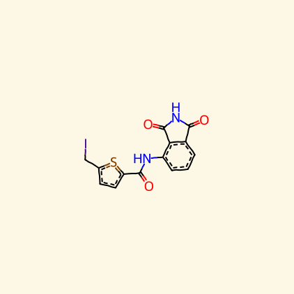 O=C(Nc1cccc2c1C(=O)NC2=O)c1ccc(CI)s1